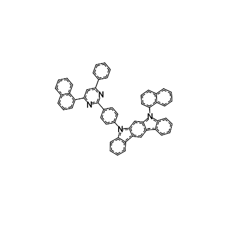 c1ccc(-c2cc(-c3cccc4ccccc34)nc(-c3ccc(-n4c5ccccc5c5cc6c7ccccc7n(-c7cccc8ccccc78)c6cc54)cc3)n2)cc1